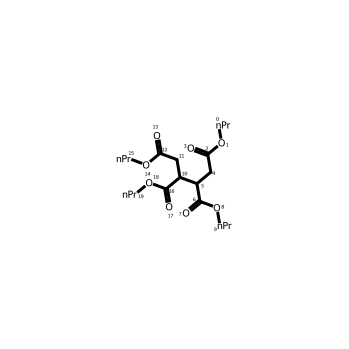 CCCOC(=O)CC(C(=O)OCCC)C(CC(=O)OCCC)C(=O)OCCC